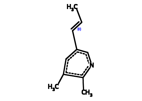 C/C=C/c1cnc(C)c(C)c1